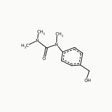 CN(C)C(=O)N(C)c1ccc(CO)cc1